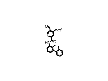 COCc1cc(C(=O)Nc2cccc(-c3ccccc3C)c2C)ncc1C=O